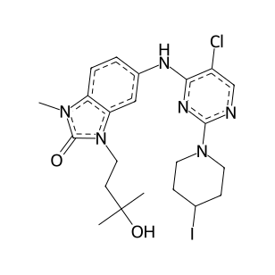 Cn1c(=O)n(CCC(C)(C)O)c2cc(Nc3nc(N4CCC(I)CC4)ncc3Cl)ccc21